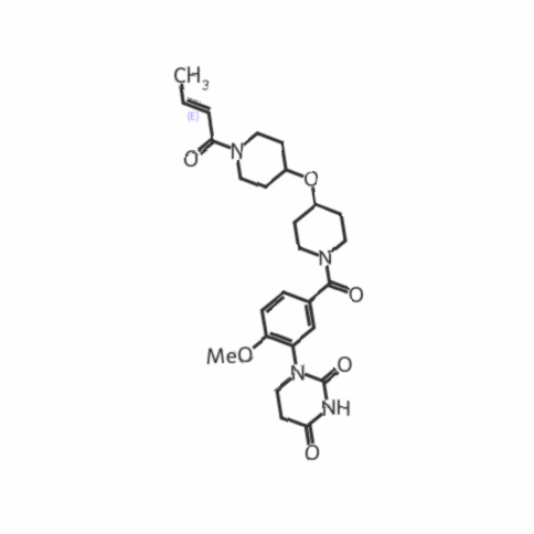 C/C=C/C(=O)N1CCC(OC2CCN(C(=O)c3ccc(OC)c(N4CCC(=O)NC4=O)c3)CC2)CC1